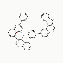 c1ccc(-c2cccc(N(c3ccc(-c4ccc5ccc6oc7ccccc7c6c5c4)cc3)c3c(-c4ccccc4)ccc4ccccc34)c2)cc1